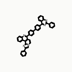 c1ccc(-c2cn3ccc4c(-c5ccc(-c6ccc(-c7nc(-c8ccccc8)nc8ccccc78)cc6)cc5)nc5ccccc5c4c3n2)cc1